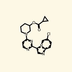 O=C(OC1CCCN(c2ccnc(-c3cnc4ccc(Cl)cn34)n2)C1)C1CC1